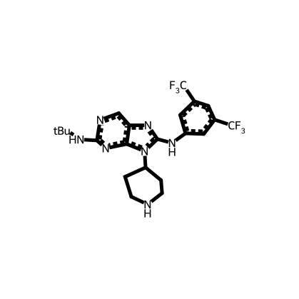 CC(C)(C)Nc1ncc2nc(Nc3cc(C(F)(F)F)cc(C(F)(F)F)c3)n(C3CCNCC3)c2n1